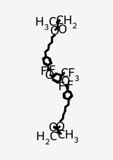 C=C(C)C(=O)OCCCCCCc1ccc(C(F)(F)Oc2ccc(OC(F)(F)c3ccc(CCCCCCOC(=O)C(=C)C)cc3)c(C(F)(F)F)c2)cc1